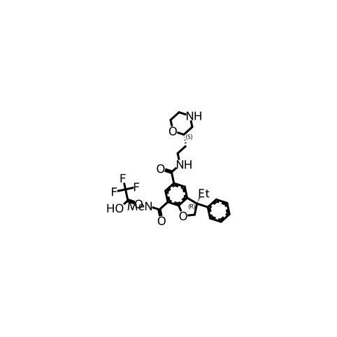 CC[C@]1(c2ccccc2)COc2c(C(=O)NC)cc(C(=O)NCC[C@H]3CNCCO3)cc21.O=C(O)C(F)(F)F